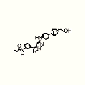 C=CC(=O)Nc1cccc(-c2ncn3cnc(Nc4ccc(N5CCN(CCO)CC5)cc4)cc23)c1